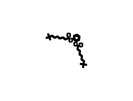 CC(C)(C)CCCCCCC(=O)Oc1ccccc1OC(=O)CCCCCCC(C)(C)C